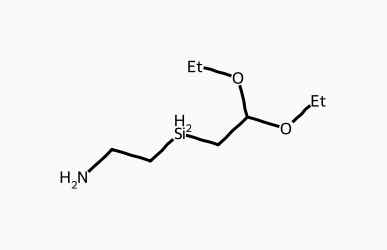 CCOC(C[SiH2]CCN)OCC